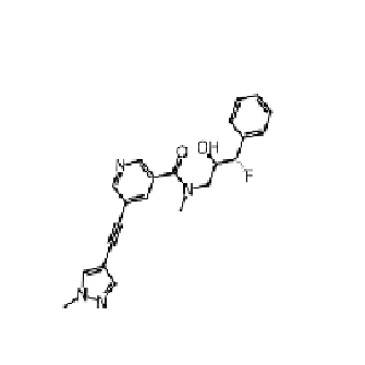 CN(C[C@@H](O)[C@@H](F)c1ccccc1)C(=O)c1cncc(C#Cc2cnn(C)c2)c1